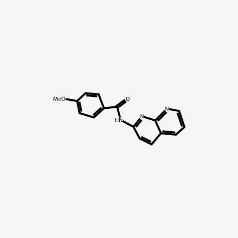 COc1ccc(C(=O)Nc2ccc3cccnc3n2)cc1